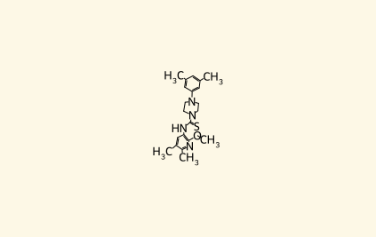 COc1nc(C)c(C)cc1NC(=S)N1CCN(c2cc(C)cc(C)c2)CC1